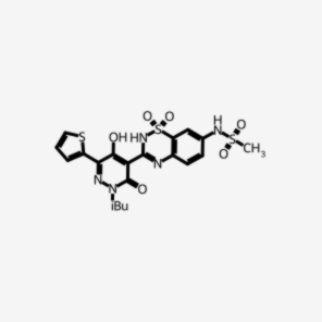 CCC(C)n1nc(-c2cccs2)c(O)c(C2=Nc3ccc(NS(C)(=O)=O)cc3S(=O)(=O)N2)c1=O